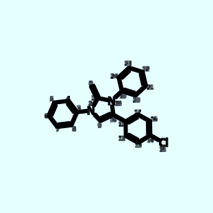 C=C1N(c2ccccc2)C=C(c2ccc(Cl)cc2)N1c1ccccc1